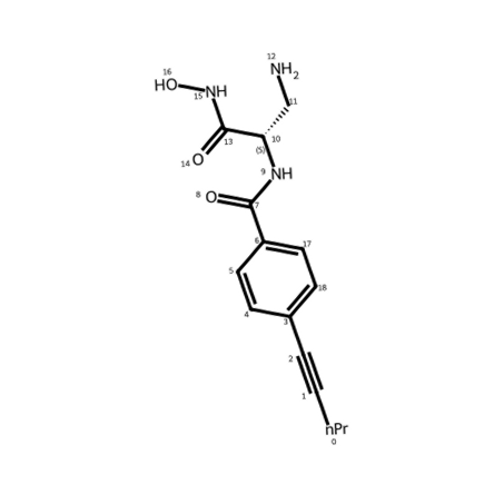 CCCC#Cc1ccc(C(=O)N[C@@H](CN)C(=O)NO)cc1